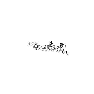 COc1ccc(-c2cc(CC(=O)CC(=O)CCCc3ccc(C)cc3)c(C)o2)cc1OC